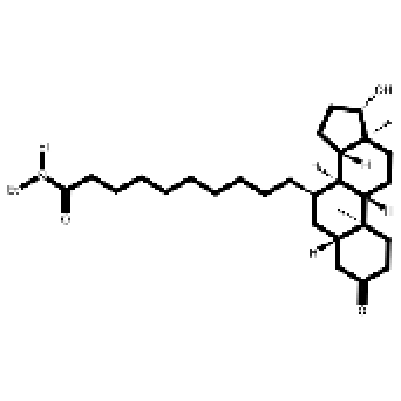 CCN(CC)C(=O)CCCCCCCCC[C@@H]1C[C@H]2CC(=O)CC[C@]2(C)[C@H]2CC[C@]3(C)[C@@H](O)CC[C@H]3[C@H]12